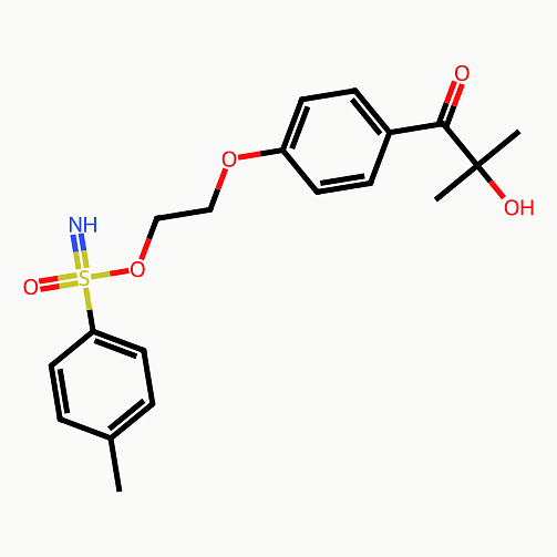 Cc1ccc(S(=N)(=O)OCCOc2ccc(C(=O)C(C)(C)O)cc2)cc1